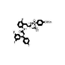 CCNC[C@H](CCc1c(F)cccc1NC(=O)C[C@@H](c1ccc(F)cc1)c1cc(F)cc(F)c1)NS(=O)(=O)c1ccc(OC)cc1